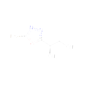 CCC(C)c1nnc(S)o1